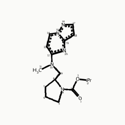 CC(C)OC(=O)N1CCCC1CN(C)c1ccn2nccc2n1